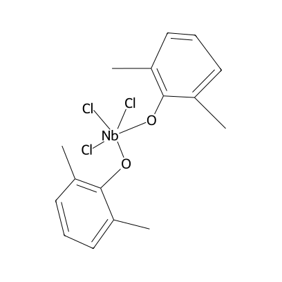 Cc1cccc(C)c1[O][Nb]([Cl])([Cl])([Cl])[O]c1c(C)cccc1C